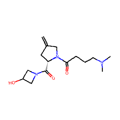 C=C1C[C@@H](C(=O)N2CC(O)C2)N(C(=O)CCCN(C)C)C1